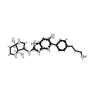 OCCCc1ccc(-c2nc3nc(OC4CO[C@@H]5CCO[C@H]45)[nH]c3cc2Cl)cc1